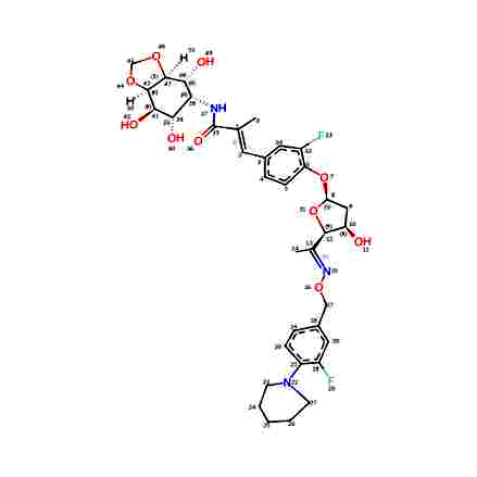 C/C(=C\c1ccc(O[C@H]2C[C@@H](O)[C@@H](/C(C)=N/OCc3ccc(N4CCCCC4)c(F)c3)O2)c(F)c1)C(=O)N[C@@H]1[C@H](O)[C@@H](O)[C@H]2OCO[C@H]2[C@@H]1O